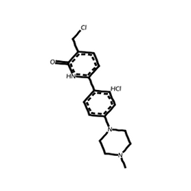 CN1CCN(c2ccc(-c3ccc(CCl)c(=O)[nH]3)cc2)CC1.Cl